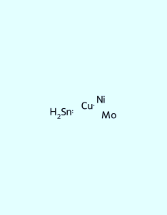 [Cu].[Mo].[Ni].[SnH2]